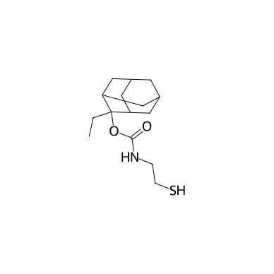 CCC1(OC(=O)NCCS)C2CC3CC(C2)CC1C3